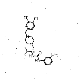 COc1cccc(NC(=O)N[C@@H](CN2CCN(Cc3ccc(Cl)c(Cl)c3)CC2)C(C)C)c1